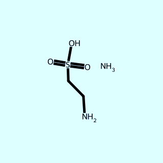 N.NCCS(=O)(=O)O